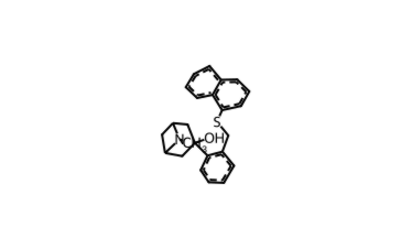 CN1C2CC1CC(O)(c1ccccc1CSc1cccc3ccccc13)C2